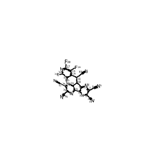 N#Cc1nc2c(nc1C#N)C(C(C#N)c1c(F)c(F)nc(F)c1F)c1nc(C#N)c(C#N)nc1-2